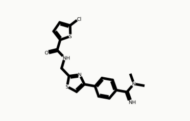 CN(C)C(=N)c1ccc(-c2csc(CNC(=O)c3ccc(Cl)s3)n2)cc1